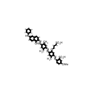 COc1ccc(N=Nc2cc(OCCCS(=O)(=O)O)c(N=Nc3cc(C)c(N=Nc4ccc5cc(Nc6ccccc6)ccc5c4O)cc3C)cc2C)c(S(=O)(=O)O)c1